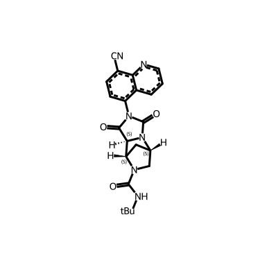 CC(C)(C)NC(=O)N1C[C@@H]2C[C@H]1[C@H]1C(=O)N(c3ccc(C#N)c4ncccc34)C(=O)N21